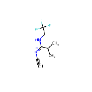 C#C/N=C(/NCC(F)(F)F)C(C)C